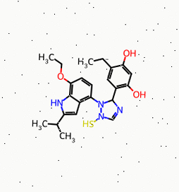 CCOc1ccc(N2C(c3cc(CC)c(O)cc3O)N=CN2S)c2cc(C(C)C)[nH]c12